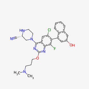 CN(C)CCCOc1nc(N2CCN[C@@H](C#N)C2)c2cc(Cl)c(-c3cc(O)cc4ccccc34)c(F)c2n1